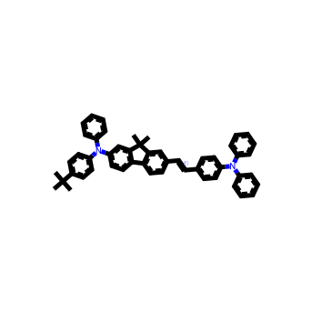 CC(C)(C)c1ccc(N(c2ccccc2)c2ccc3c(c2)C(C)(C)c2cc(/C=C/c4ccc(N(c5ccccc5)c5ccccc5)cc4)ccc2-3)cc1